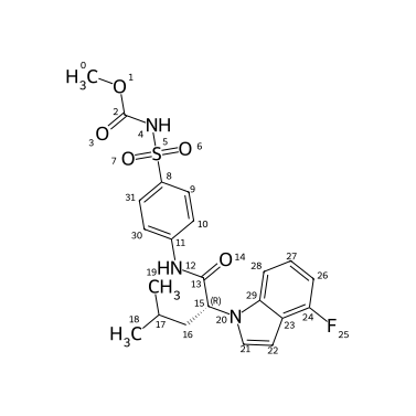 COC(=O)NS(=O)(=O)c1ccc(NC(=O)[C@@H](CC(C)C)n2ccc3c(F)cccc32)cc1